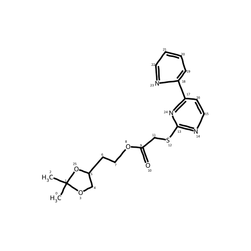 CC1(C)OCC(CCOC(=O)CSc2nccc(-c3ccccn3)n2)O1